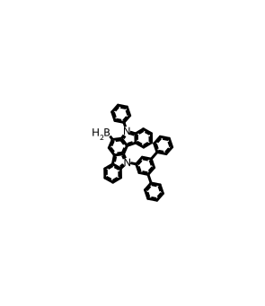 Bc1cc2c3ccccc3n(-c3cc(-c4ccccc4)cc(-c4ccccc4)c3)c2c2c3ccccc3n(-c3ccccc3)c12